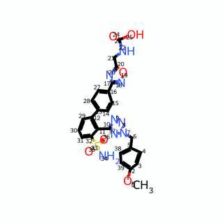 COc1ccc(Cn2nnc(-c3c(-c4ccc(-c5noc(CNC(=O)O)n5)cc4)cccc3S(N)(=O)=O)n2)cc1